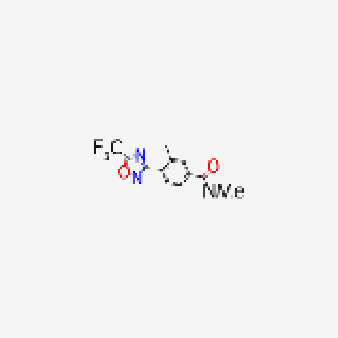 CNC(=O)c1ccc(-c2noc(C(F)(F)F)n2)c(C)c1